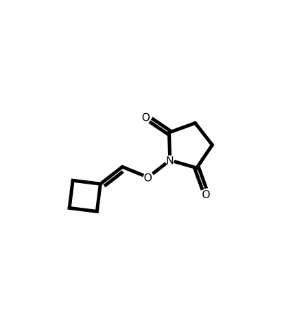 O=C1CCC(=O)N1OC=C1CCC1